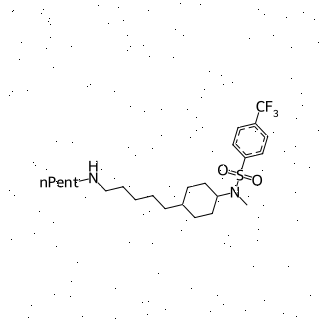 CCCCCNCCCCCC1CCC(N(C)S(=O)(=O)c2ccc(C(F)(F)F)cc2)CC1